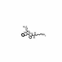 CCOC(=O)NC(Cc1ccccc1)C(=O)N1CCCC1C(=O)NNCCCCN